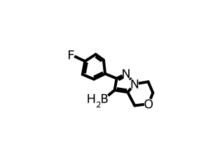 Bc1c(-c2ccc(F)cc2)nn2c1COCC2